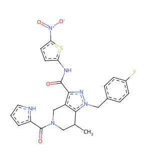 CC1CN(C(=O)c2ccc[nH]2)Cc2c(C(=O)Nc3ccc([N+](=O)[O-])s3)nn(Cc3ccc(F)cc3)c21